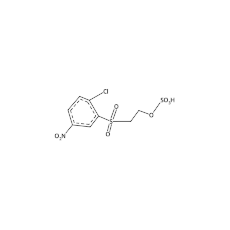 O=[N+]([O-])c1ccc(Cl)c(S(=O)(=O)CCOS(=O)(=O)O)c1